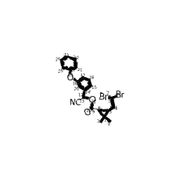 CC1(C)C(C=C(Br)Br)[C@H]1C(=O)O[C@H](C#N)c1cccc(Oc2ccccc2)c1